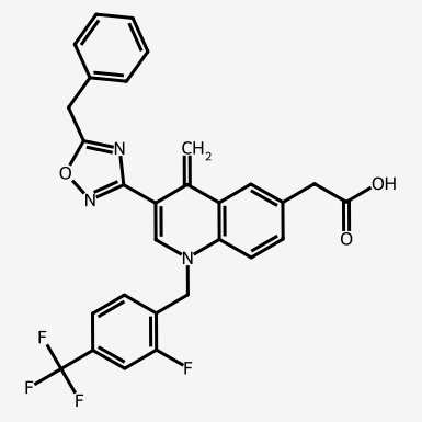 C=C1C(c2noc(Cc3ccccc3)n2)=CN(Cc2ccc(C(F)(F)F)cc2F)c2ccc(CC(=O)O)cc21